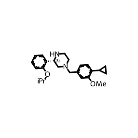 COc1cc(CN2CCN[C@@H](c3ccccc3OC(C)C)C2)ccc1C1CC1